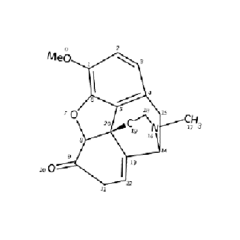 COc1ccc2c3c1OC1C(=O)CC=C4C(C2)N(C)CC[C@]431